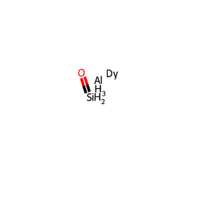 O=[SiH2].[AlH3].[Dy]